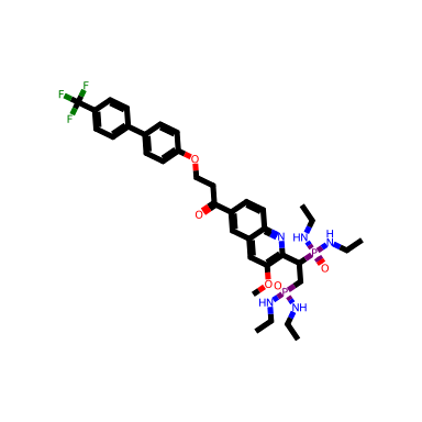 CCNP(=O)(CC(c1nc2ccc(C(=O)CCOc3ccc(-c4ccc(C(F)(F)F)cc4)cc3)cc2cc1OC)P(=O)(NCC)NCC)NCC